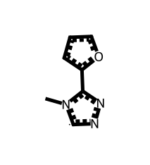 Cn1[c]nnc1-c1ccco1